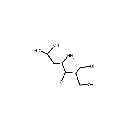 CC(O)CN(N)C(O)C(CO)CO